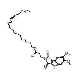 CCCCC/C=C\C/C=C\CCCCCCCCOC(=O)CCN1C(=O)c2sc3cc(OC)c(OC)cc3c2C1=O